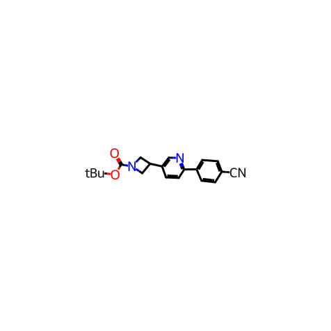 CC(C)(C)OC(=O)N1CC(c2ccc(-c3ccc(C#N)cc3)nc2)C1